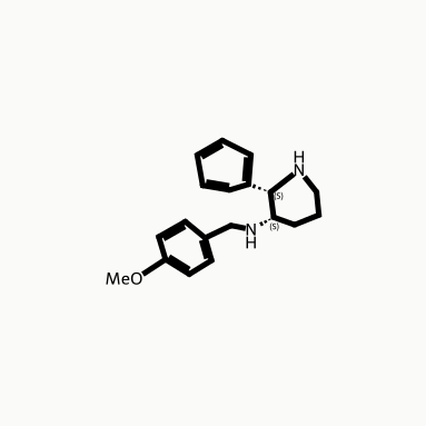 COc1ccc(CN[C@H]2CCCN[C@H]2c2ccccc2)cc1